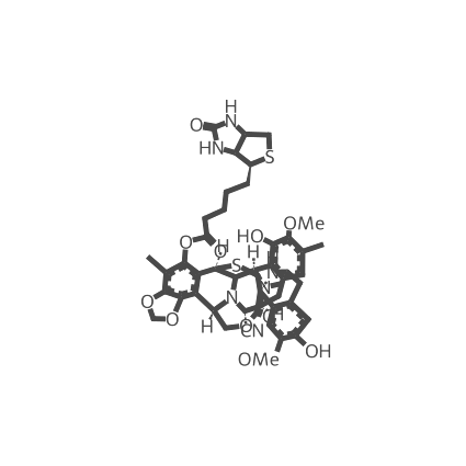 COc1cc2c(cc1O)CCN[C@]21CS[C@@H]2c3c(OC(=O)CCCC[C@@H]4SCC5NC(=O)NC54)c(C)c4c(c3[C@H](COC1=O)N1C2[C@H]2c3c(cc(C)c(OC)c3O)C[C@@H]([C@@H]1C#N)N2C)OCO4